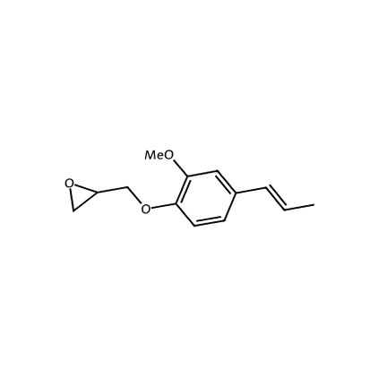 CC=Cc1ccc(OCC2CO2)c(OC)c1